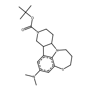 CN(C)c1cc2c3c(c1)C1CN(C(=O)OC(C)(C)C)CCC1N3CCCS2